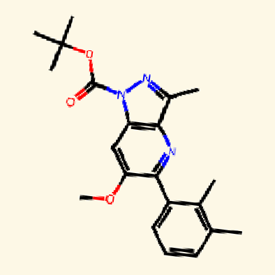 COc1cc2c(nc1-c1cccc(C)c1C)c(C)nn2C(=O)OC(C)(C)C